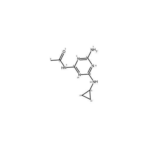 CC(=O)Nc1nc(N)nc(NC2CC2)n1